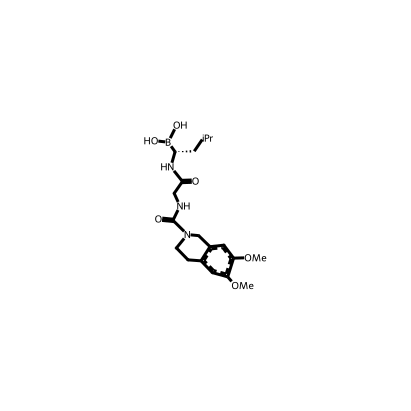 COc1cc2c(cc1OC)CN(C(=O)NCC(=O)N[C@@H](CC(C)C)B(O)O)CC2